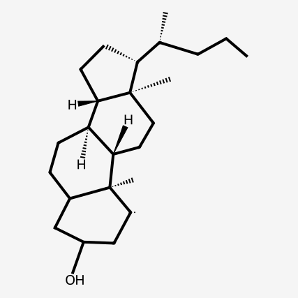 CCC[C@@H](C)[C@H]1CC[C@H]2[C@@H]3CCC4CC(O)C[CH][C@]4(C)[C@H]3CC[C@]12C